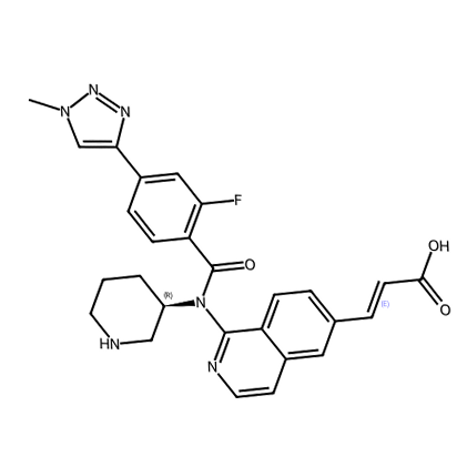 Cn1cc(-c2ccc(C(=O)N(c3nccc4cc(/C=C/C(=O)O)ccc34)[C@@H]3CCCNC3)c(F)c2)nn1